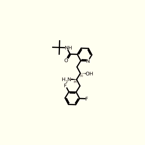 CC(C)(C)NC(=O)c1cccnc1C[C@H](O)[C@H](N)Cc1c(F)cccc1F